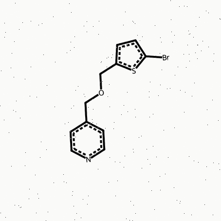 Brc1ccc(COCc2ccncc2)s1